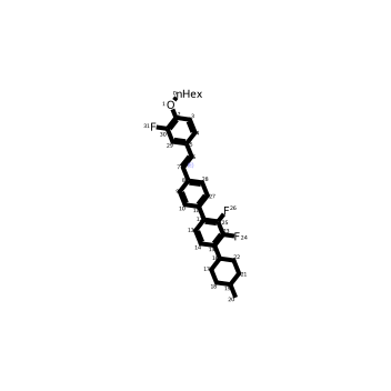 CCCCCCOc1ccc(/C=C/c2ccc(-c3ccc(C4CCC(C)CC4)c(F)c3F)cc2)cc1F